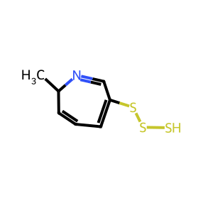 CC1C=CC=C(SSS)C=N1